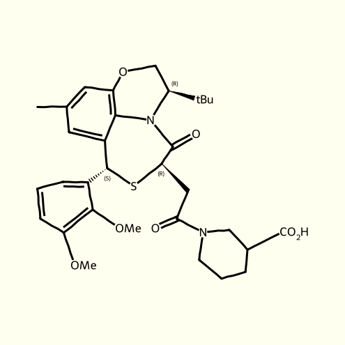 COc1cccc([C@H]2S[C@H](CC(=O)N3CCCC(C(=O)O)C3)C(=O)N3c4c(cc(C)cc42)OC[C@H]3C(C)(C)C)c1OC